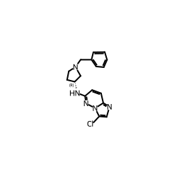 Clc1cnc2ccc(N[C@@H]3CCN(Cc4ccccc4)C3)nn12